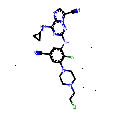 N#Cc1cc(Nc2nc(NC3CC3)c3ncc(C#N)n3n2)c(Cl)c(N2CCN(CCCl)CC2)c1